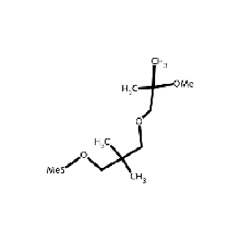 COC(C)(C)COCC(C)(C)COSC